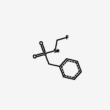 O=S(=O)(Cc1ccccc1)[Se]CF